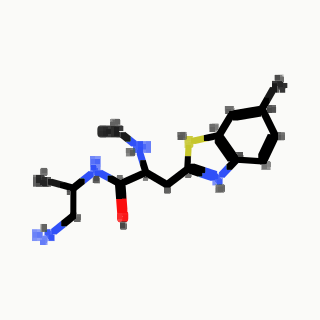 CCC(C)C(CN)NC(=O)C(Cc1nc2ccc(C(C)C)cc2s1)NC=O